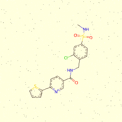 CNS(=O)(=O)c1ccc(CNC(=O)c2ccc(-c3cccs3)nc2)c(Cl)c1